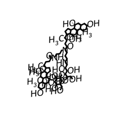 CC(CCC(=O)NCCCN(CCCNCC(O)C(O)C(OC1OC(CO)C(O)C(O)C1O)C(O)CO)C(=O)CCC(C)C1CCC2C3C(C[C@H](O)[C@]12C)[C@@]1(C)CC[C@@H](O)CC1C[C@H]3O)C1CCC2C3C(C[C@H](O)[C@]12C)[C@@]1(C)CC[C@@H](O)CC1C[C@H]3O